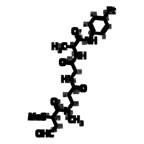 CCc1ccc(NC(=O)C(C)NC(=O)CNC(=O)CCN(C)C(=O)C(CC=O)SC)cc1